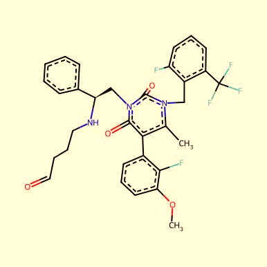 COc1cccc(-c2c(C)n(Cc3c(F)cccc3C(F)(F)F)c(=O)n(C[C@@H](NCCCC=O)c3ccccc3)c2=O)c1F